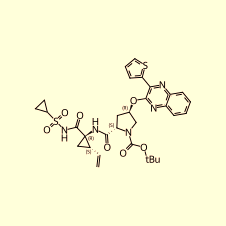 C=C[C@@H]1C[C@]1(NC(=O)[C@@H]1C[C@@H](Oc2nc3ccccc3nc2-c2cccs2)CN1C(=O)OC(C)(C)C)C(=O)NS(=O)(=O)C1CC1